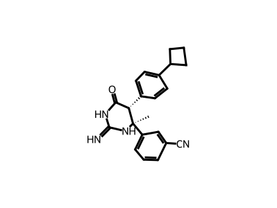 C[C@]1(c2cccc(C#N)c2)NC(=N)NC(=O)[C@@H]1c1ccc(C2CCC2)cc1